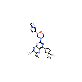 Cc1nc2nc(N3CCO[C@@H](c4cnn(C)c4)C3)nc([C@H]3CCC(C)(C)C3)c2nc1C